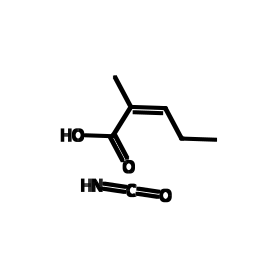 CCC=C(C)C(=O)O.N=C=O